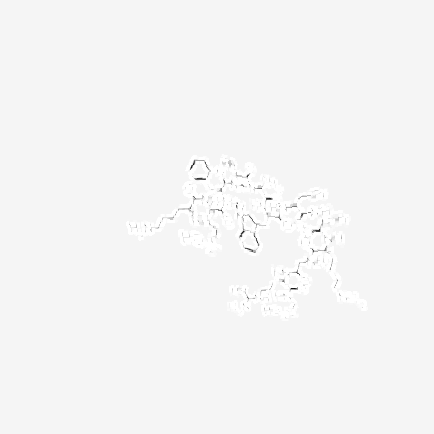 CC[C@H](C)[C@H](NC(=O)[C@H](Cc1ccccc1)NC(=O)[C@H](CCC(=O)O)NC(=O)[C@@H](N)CCCCN)C(=O)N[C@@H](C)C(=O)N[C@@H](Cc1c[nH]c2ccccc12)C(=O)N[C@@H](CC(C)C)C(=O)N[C@H](C(=O)N[C@@H](CCCCN)C(=O)NCC(=O)N[C@@H](CCCNC(=N)N)C(=O)NCC(=O)O)C(C)C